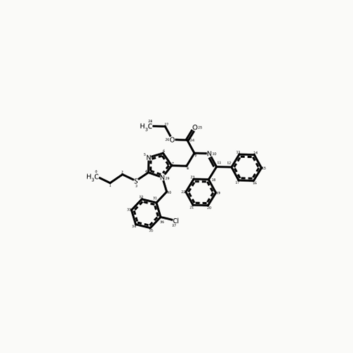 CCCSc1ncc(CC(N=C(c2ccccc2)c2ccccc2)C(=O)OCC)n1Cc1ccccc1Cl